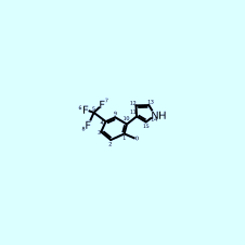 Cc1ccc(C(F)(F)F)cc1-c1cc[nH]c1